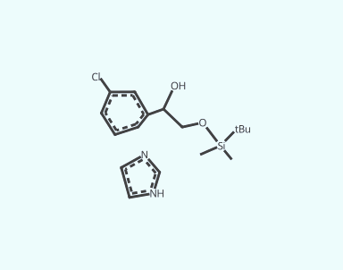 CC(C)(C)[Si](C)(C)OCC(O)c1cccc(Cl)c1.c1c[nH]cn1